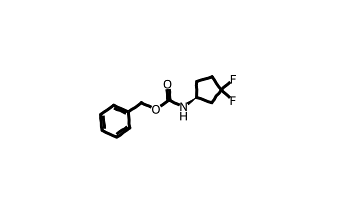 O=C(N[C@H]1CCC(F)(F)C1)OCc1ccccc1